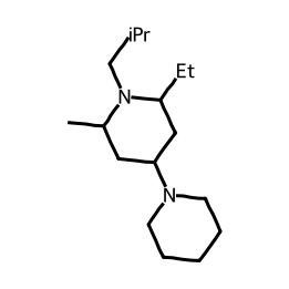 CCC1CC(N2CCCCC2)CC(C)N1CC(C)C